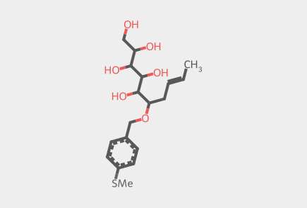 CC=CCC(OCc1ccc(SC)cc1)C(O)C(O)C(O)C(O)CO